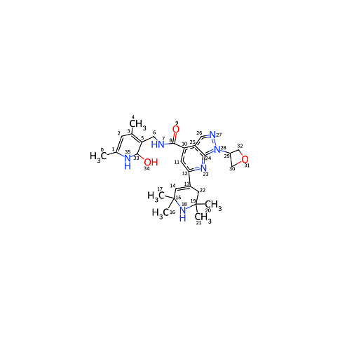 CC1=CC(C)=C(CNC(=O)c2cc(C3=CC(C)(C)NC(C)(C)C3)nc3c2cnn3C2COC2)C(O)N1